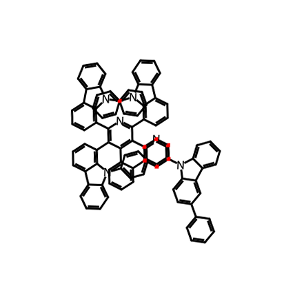 c1ccc(-c2ccc3c(c2)c2ccccc2n3-c2ccc(-c3c(-c4cccc5c6ccccc6n(-c6ccccc6)c45)nc(-c4cccc5c6ccccc6n(-c6ccccc6)c45)c(-c4cccc5c6ccccc6n(-c6ccccc6)c45)c3-c3ccccc3-c3cccnc3)cc2)cc1